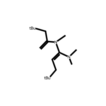 C=C(CC(C)(C)C)N(C)/C(=C/CC(C)(C)C)N(C)C